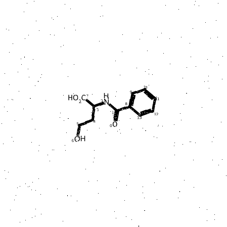 O=C(NC(CCO)C(=O)O)c1ccccc1